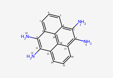 Nc1c(N)c2cccc3c(N)c(N)c4cccc1c4c23